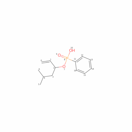 C=CC(CC(C)C)OP(=O)(O)c1ccccc1